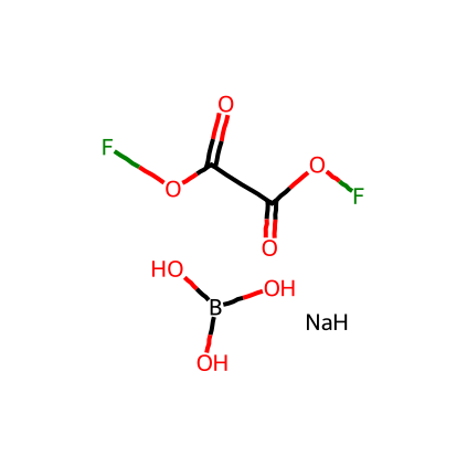 O=C(OF)C(=O)OF.OB(O)O.[NaH]